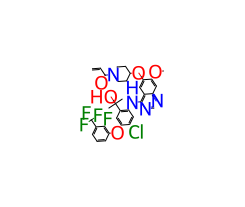 C=CC(=O)N1CCC(Oc2cc3c(Nc4cc(Cl)c(Oc5cccc(C(F)(F)F)c5F)cc4C(C)(C)O)ncnc3cc2OC)CC1